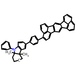 CC12CCCCC1(C)N(c1ccccc1)c1ccc(-c3ccc(-c4ccc5c6cc7c(cc6c6cccc4c65)c4cccc5cccc7c54)cc3)cc12